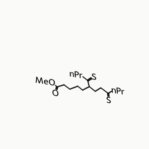 CCCC(=S)CCC(CCCCC(=O)OC)C(=S)CCC